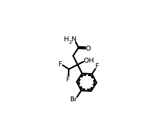 NC(=O)CC(O)(c1cc(Br)ccc1F)C(F)F